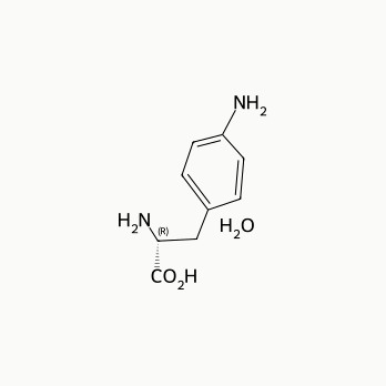 Nc1ccc(C[C@@H](N)C(=O)O)cc1.O